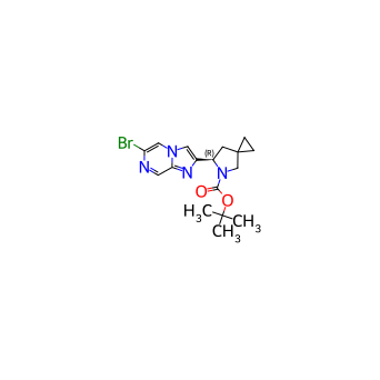 CC(C)(C)OC(=O)N1CC2(CC2)C[C@@H]1c1cn2cc(Br)ncc2n1